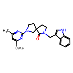 COc1cc(C)nc(N2CCC3(CCN(Cc4c[nH]c5ccccc45)C3=O)C2)n1